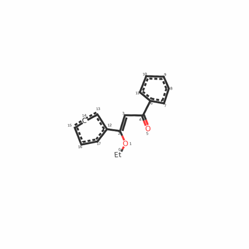 CCOC(=CC(=O)c1ccccc1)c1ccccc1